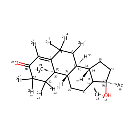 [2H]C1=C2C([2H])([2H])C([2H])[C@@H]3[C@H](CC[C@@]4(C)[C@H]3CC[C@]4(O)C(C)=O)[C@@]2(C)C([2H])([2H])C([2H])([2H])C1=O